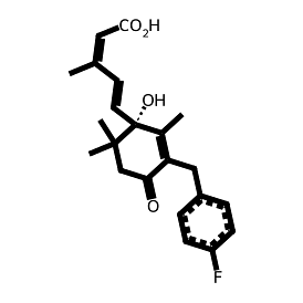 CC1=C(Cc2ccc(F)cc2)C(=O)CC(C)(C)[C@@]1(O)/C=C/C(C)=C\C(=O)O